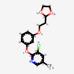 FC(F)(F)c1cnc(Oc2[c]c(OCCC3OCCO3)ccc2)c(Cl)c1